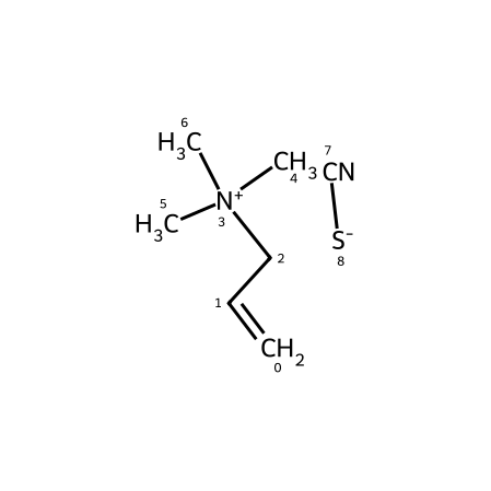 C=CC[N+](C)(C)C.N#C[S-]